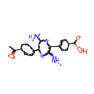 CC(=O)c1ccc(-c2nc(N)c(-c3ccc(C(=O)O)cc3)nc2N)cc1